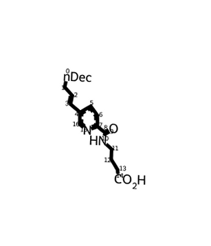 CCCCCCCCCCCC=Cc1ccc(C(=O)NCCCC(=O)O)nc1